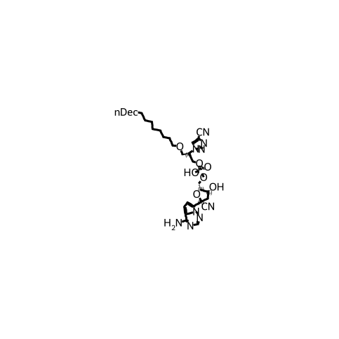 CCCCCCCCCCCCCCCCCCOC[C@H](COP(=O)(O)OC[C@H]1O[C@@](C#N)(c2ccc3c(N)ncnn23)C[C@@H]1O)n1cc(C#N)nn1